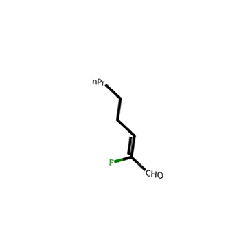 CCCCC/C=C(\F)C=O